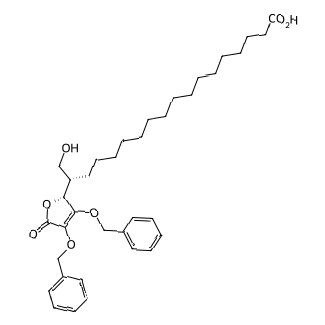 O=C(O)CCCCCCCCCCCCCCC[C@@H](CO)[C@H]1OC(=O)C(OCc2ccccc2)=C1OCc1ccccc1